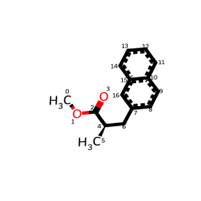 COC(=O)[C@H](C)Cc1ccc2ccccc2c1